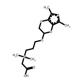 Cc1sc(C)c2c1OCC(OCCC[N+](C)(C)CC(=O)O)O2